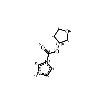 O=C(O[C@@H]1CCOC1)n1ccnc1